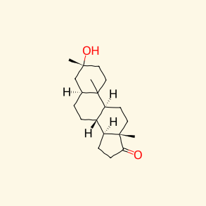 CC12CC[C@@](C)(O)C[C@@H]1CC[C@@H]1[C@@H]2CC[C@]2(C)C(=O)CC[C@@H]12